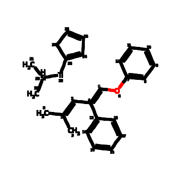 CC(C)=CC(=COc1ccccc1)c1ccccc1.C[SiH](C)[Ti][C]1=CC=CC1